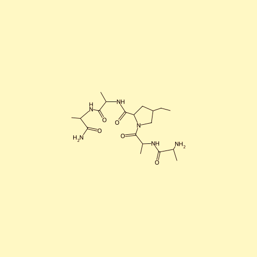 CCC1CC(C(=O)NC(C)C(=O)NC(C)C(N)=O)N(C(=O)C(C)NC(=O)C(C)N)C1